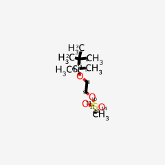 CC(C)(C)[Si](C)(C)OCCOS(C)(=O)=O